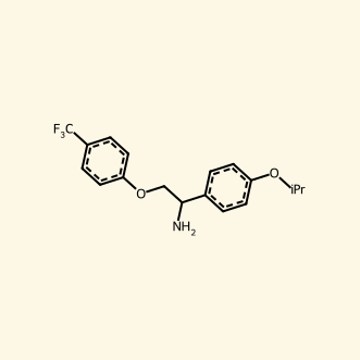 CC(C)Oc1ccc(C(N)COc2ccc(C(F)(F)F)cc2)cc1